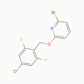 Fc1cc(Cl)cc(F)c1COc1cccc(Br)n1